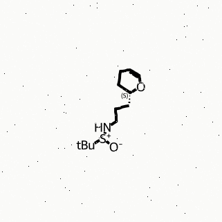 CC(C)(C)[S+]([O-])NCCC[C@@H]1CCC=CO1